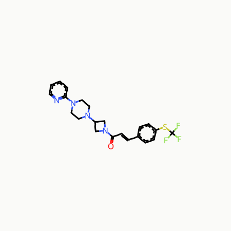 O=C(C=Cc1ccc(SC(F)(F)F)cc1)N1CC(N2CCN(c3ccccn3)CC2)C1